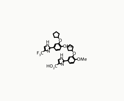 COc1ccc(-c2nc(C(=O)O)c[nH]2)cc1OC1CCCC1.COc1ccc(-c2nc(C(F)(F)F)c[nH]2)cc1OC1CCCC1